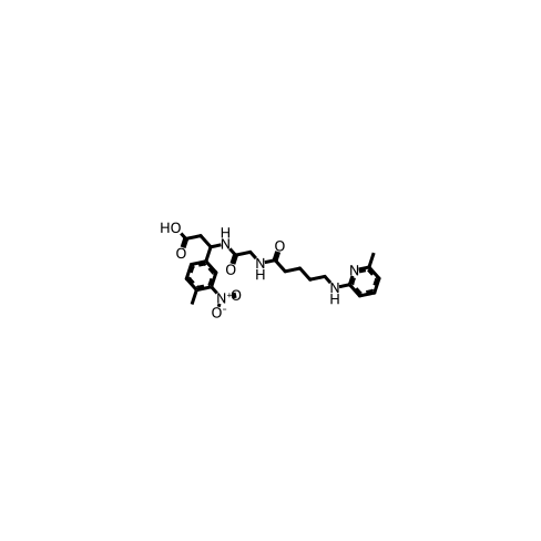 Cc1cccc(NCCCCC(=O)NCC(=O)NC(CC(=O)O)c2ccc(C)c([N+](=O)[O-])c2)n1